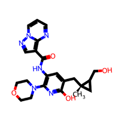 C[C@]1(Cc2cc(NC(=O)c3cnn4cccnc34)c(N3CCOCC3)nc2O)CC1CO